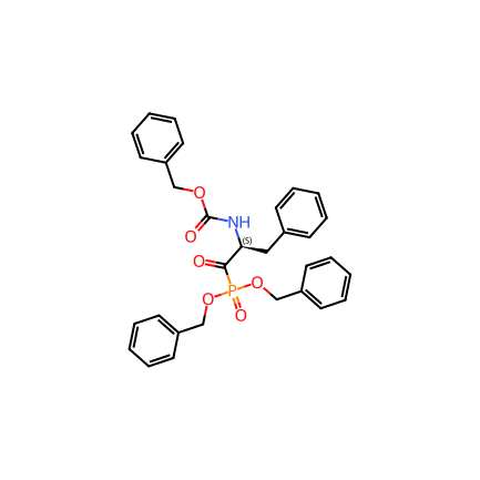 O=C(N[C@@H](Cc1ccccc1)C(=O)P(=O)(OCc1ccccc1)OCc1ccccc1)OCc1ccccc1